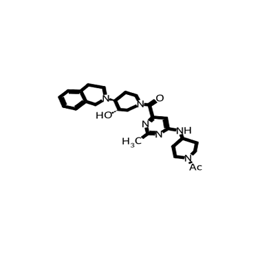 CC(=O)N1CCC(Nc2cc(C(=O)N3CC[C@H](N4CCc5ccccc5C4)[C@@H](O)C3)nc(C)n2)CC1